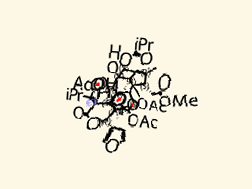 COC(=O)C[C@@H]1C2(C)C34O[C@]5(C)O[C@]3([C@@H]3/C(=C(\O)C(C)C)C(=O)O[C@@H](c6ccoc6)[C@]3(C)C(OC(C)=O)[C@@H]4OC(C)=O)[C@H](OC(C)=O)[C@@]3(O)[C@@H](OC(=O)C(C)C)[C@]1(C)C[C@@]23O5